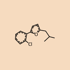 CC(C)Cc1ccc(-c2ccccc2Cl)o1